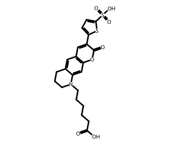 O=C(O)CCCCCN1CCCc2cc3cc(-c4ccc(S(=O)(=O)O)s4)c(=O)oc3cc21